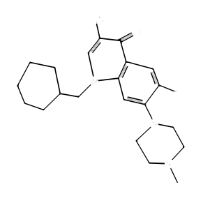 C=C1C(C#N)=CN(CC2CCCCC2)c2cc(N3CCN(C)CC3)c(F)cc21